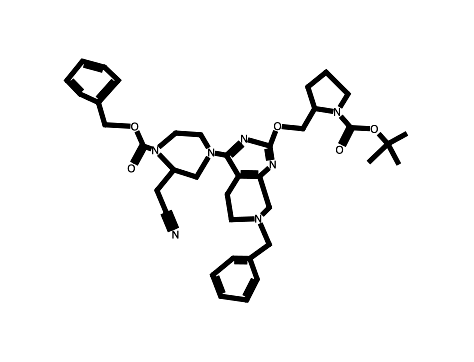 CC(C)(C)OC(=O)N1CCCC1COc1nc2c(c(N3CCN(C(=O)OCc4ccccc4)C(CC#N)C3)n1)CCN(Cc1ccccc1)C2